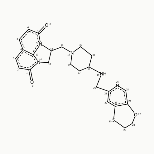 O=c1ccc2ccc(=O)n3c2n1CC3CN1CCC(NCc2cc3c(cn2)OCCS3)CC1